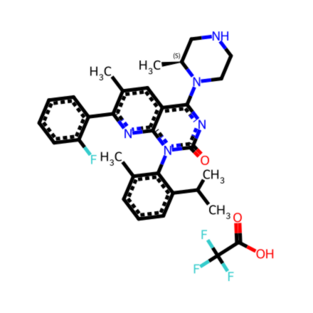 Cc1cc2c(N3CCNC[C@@H]3C)nc(=O)n(-c3c(C)cccc3C(C)C)c2nc1-c1ccccc1F.O=C(O)C(F)(F)F